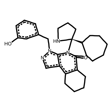 O=c1c2c(c3cnn(Cc4cccc(O)c4)c3n1[C@@]1(C3CCCCCC3)CCCN1)CCCC2